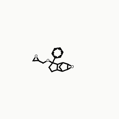 c1ccc(C2(OCC3CO3)CCC3C4CC(C5OC45)C32)cc1